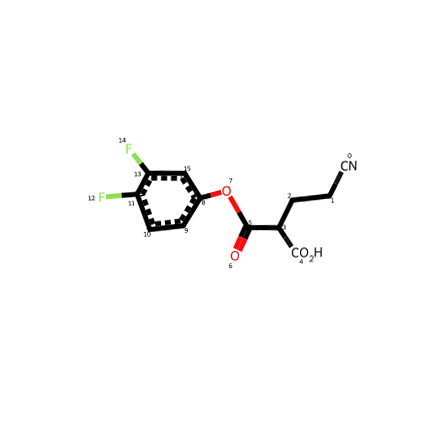 N#CCCC(C(=O)O)C(=O)Oc1ccc(F)c(F)c1